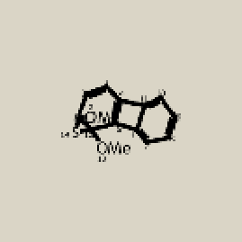 COC12C=CC3=C(c4ccccc43)C1(OC)S2